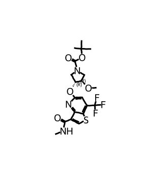 CNC(=O)c1csc2c(C(F)(F)F)cc(O[C@@H]3CN(C(=O)OC(C)(C)C)C[C@H]3OC)nc12